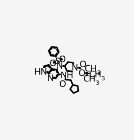 CC(C)(C)OC(=O)N1CCC(N(c2c(NC(=O)CC3CCCC3)cnc3[nH]ccc23)S(=O)(=O)c2ccccc2)CC1